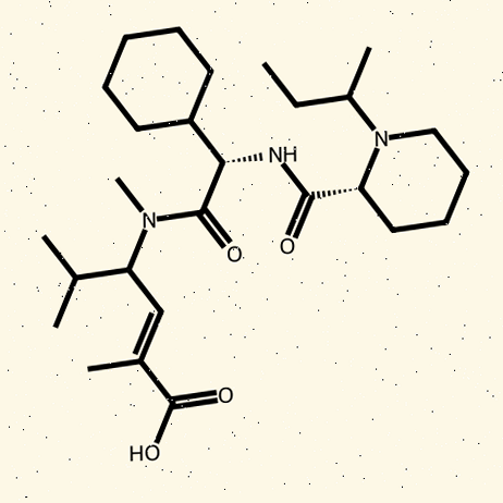 CCC(C)N1CCCC[C@@H]1C(=O)N[C@H](C(=O)N(C)C(/C=C(\C)C(=O)O)C(C)C)C1CCCCC1